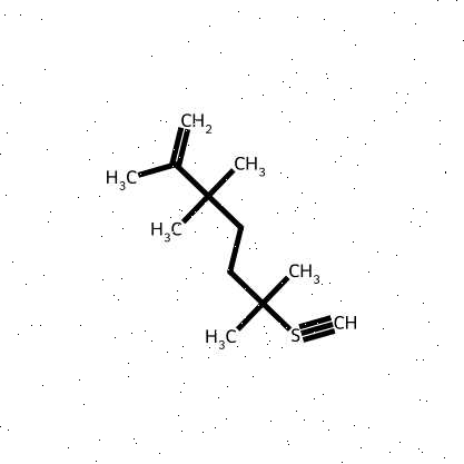 C#SC(C)(C)CCC(C)(C)C(=C)C